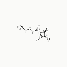 Cc1c(N(C)CCCN)c(=O)c1=O